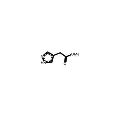 COC(=O)Cc1cn[nH]c1